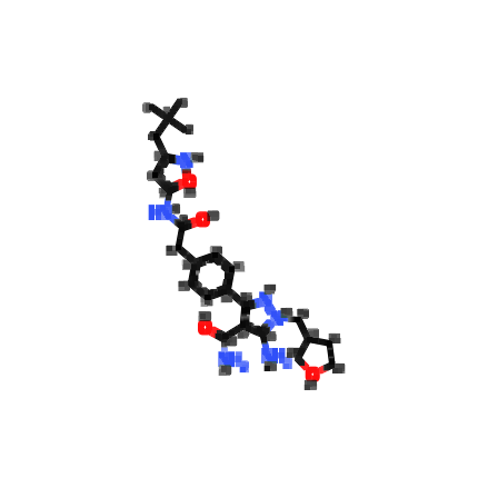 CC(C)(C)Cc1cc(NC(=O)Cc2ccc(-c3nn(CC4CCOC4)c(N)c3C(N)=O)cc2)on1